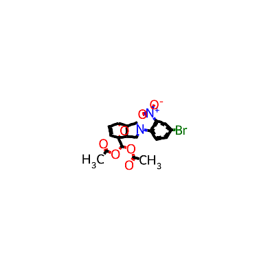 CC(=O)OC(OC(C)=O)C12C=CC(O1)C1CN(c3ccc(Br)cc3[N+](=O)[O-])CC12